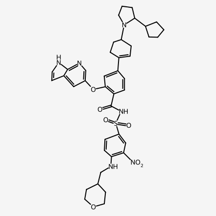 O=C(NS(=O)(=O)c1ccc(NCC2CCOCC2)c([N+](=O)[O-])c1)c1ccc(C2=CCC(N3CCCC3C3CCCC3)CC2)cc1Oc1cnc2[nH]ccc2c1